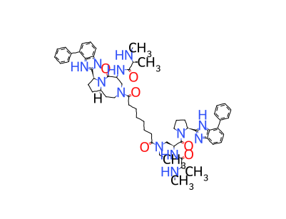 CCN(C[C@H](NC(=O)[C@H](C)NC)C(=O)N1CCC[C@H]1c1nc2cccc(-c3ccccc3)c2[nH]1)C(=O)CCCCCCC(=O)N1CC[C@H]2CC[C@@H](c3nc4cccc(-c5ccccc5)c4[nH]3)N2C(=O)[C@@H](NC(=O)[C@H](C)NC)C1